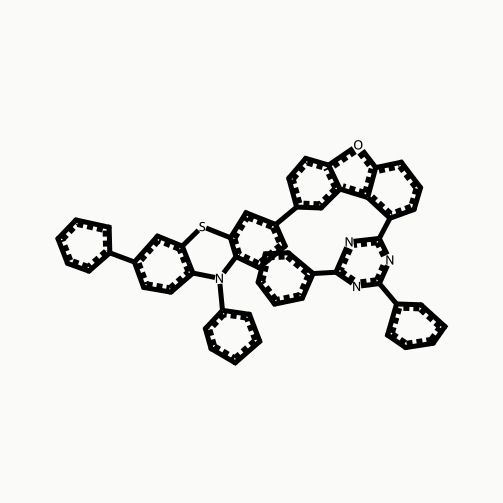 c1ccc(-c2ccc3c(c2)Sc2cc(-c4ccc5oc6cccc(-c7nc(-c8ccccc8)nc(-c8ccccc8)n7)c6c5c4)ccc2N3c2ccccc2)cc1